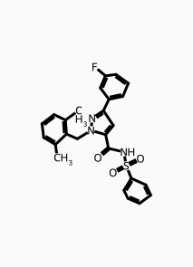 Cc1cccc(C)c1Cn1nc(-c2cccc(F)c2)cc1C(=O)NS(=O)(=O)c1ccccc1